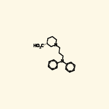 O=C(O)[C@@H]1CCCN(CCCN(c2ccccc2)c2ccccc2)C1